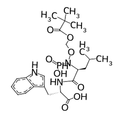 CC(C)C[C@@H](C(=O)N[C@@H](Cc1c[nH]c2ccccc12)C(=O)O)N(OCOC(=O)C(C)(C)C)[PH](=O)O